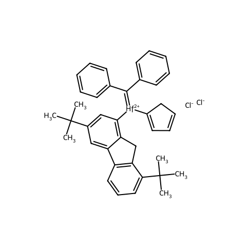 CC(C)(C)c1cc2c([c]([Hf+2]([C]3=CC=CC3)=[C](c3ccccc3)c3ccccc3)c1)Cc1c-2cccc1C(C)(C)C.[Cl-].[Cl-]